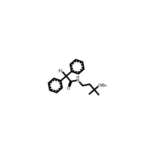 CCC(C(=O)NCCC(C)(C)OCC(C)C)(c1ccccc1)c1ccccc1